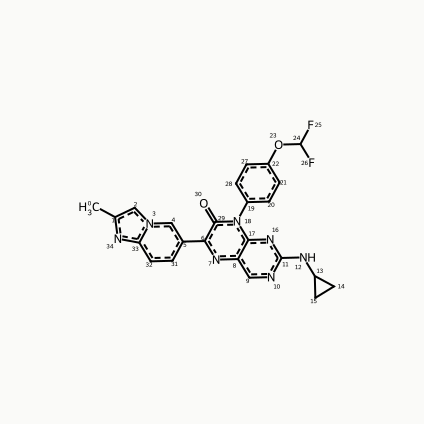 Cc1cn2cc(-c3nc4cnc(NC5CC5)nc4n(-c4ccc(OC(F)F)cc4)c3=O)ccc2n1